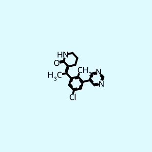 C/C(=C1/CCCNC1=O)c1cc(Cl)cc(-c2cncnc2)c1C